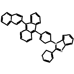 C1=CCCC(c2nc3ccccc3n2C2C=CC(c3c4ccccc4c(-c4ccc5ccccc5c4)c4ccccc34)=CC2)=C1